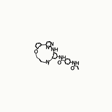 C=CC(=O)Nc1ccc(C(=O)Nc2cc3cc(c2)Nc2nccc(n2)-c2cccc(c2)OCC/C=C/CN(C)C3)cc1